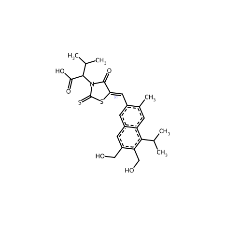 Cc1cc2c(C(C)C)c(CO)c(CO)cc2cc1/C=C1\SC(=S)N(C(C(=O)O)C(C)C)C1=O